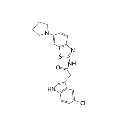 O=C(Cc1c[nH]c2ccc(Cl)cc12)Nc1nc2ccc(N3CCCC3)cc2s1